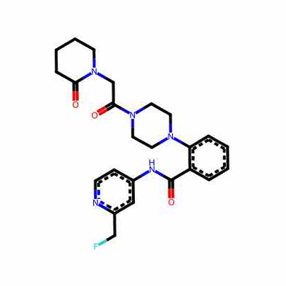 O=C(Nc1ccnc(CF)c1)c1ccccc1N1CCN(C(=O)CN2CCCCC2=O)CC1